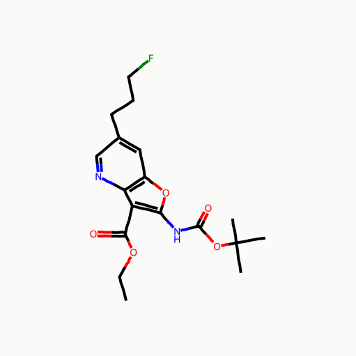 CCOC(=O)c1c(NC(=O)OC(C)(C)C)oc2cc(CCCF)cnc12